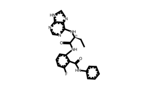 CC[C@H](Nc1ncnc2[nH]cnc12)C(=O)Nc1cccc(F)c1C(=O)Nc1ccccc1